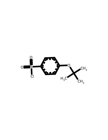 CC(C)(C)Oc1ccc(S(=O)(=O)Cl)cc1